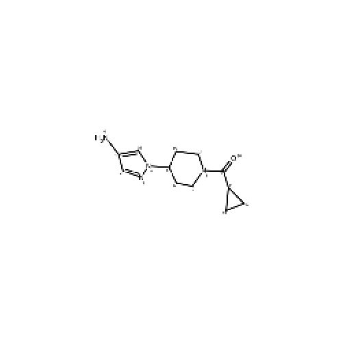 Nc1cnn(C2CCN(C(=O)C3CC3)CC2)c1